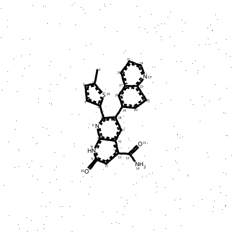 Cc1ccc(-c2nc3[nH]c(=O)cc(C(N)=O)c3cc2-c2ccc3ncccc3c2)s1